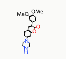 COc1ccc(-c2cc3ccc(N4CCNCC4)cc3oc2=O)cc1OC